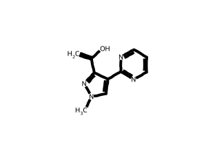 C=C(O)c1nn(C)cc1-c1ncccn1